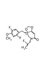 C=C(F)C[C@H]1C[C@]2(CCc3cc(F)c(OC)cc3F)OCOC2=CC1=O